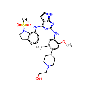 COc1cc(C2CCN(CCO)CC2)c(C)cc1Nc1nc(Nc2cccc3c2N(S(C)(=O)=O)CC3)c2cc[nH]c2n1